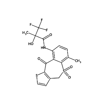 Cc1ccc(NC(=O)C(C)(O)C(F)(F)F)c2c1S(=O)(=O)Cc1ccsc1C2=O